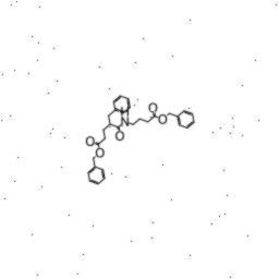 O=C(CCCNC(=O)[C](CCC(=O)OCc1ccccc1)Cc1ccccc1)OCc1ccccc1